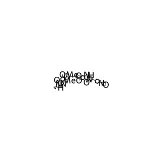 COc1cc2c(cc1OCCCCCOc1cc3c(cc1OC)C(=O)N1C=C(c4ccc(N5CCOCC5)cc4)C[C@H]1CN3C)N=C[C@@H]1CC3(CC3)CN1C2=O